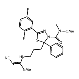 CN/C(=N/C#N)NCCCC1(c2ccccc2)SC(c2cc(F)ccc2F)=NN1C(=O)N(C)OC